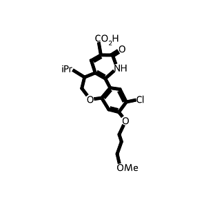 COCCCOc1cc2c(cc1Cl)-c1[nH]c(=O)c(C(=O)O)cc1C(C(C)C)CO2